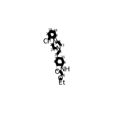 CCOCC(=O)N[C@H]1CC[C@H](CCN2CCN(c3ccccc3Cl)CC2)CC1